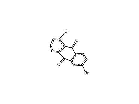 O=C1c2cc(Br)ccc2C(=O)c2c(Cl)cccc21